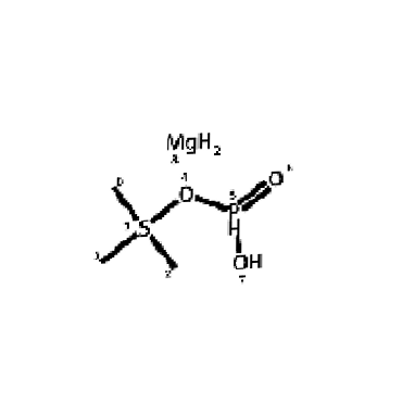 CS(C)(C)O[PH](=O)O.[MgH2]